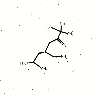 CC(C)C[C@H](CN)CC(=O)C(C)(C)C